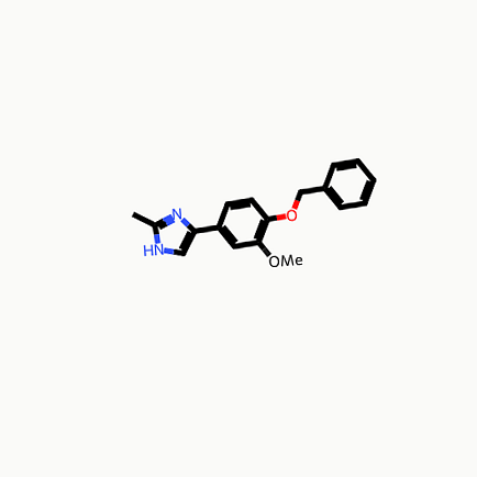 COc1cc(-c2c[nH]c(C)n2)ccc1OCc1ccccc1